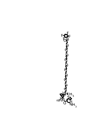 CCCN(C[C@H]1C[C@@H](CN(C)CCOCCOCCOCCOCCOCCOCCOCCOCCOCCOCCC(=O)Oc2c(F)c(F)cc(F)c2F)C2CC1C2)C(=O)C1=Cc2sccc2N=C(N)C1